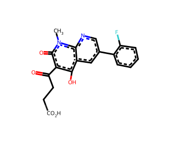 Cn1c(=O)c(C(=O)CCC(=O)O)c(O)c2cc(-c3ccccc3F)cnc21